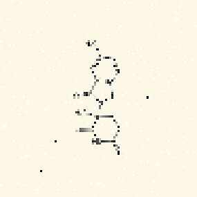 Cc1ccc2c(c1)C(=O)N(C1(C)CCC(=O)NC1=O)C2